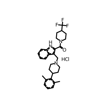 Cc1cccc(C)c1C1CCN(Cc2c(C(=O)N3CCC(C(F)(F)F)CC3)[nH]c3ccccc23)CC1.Cl